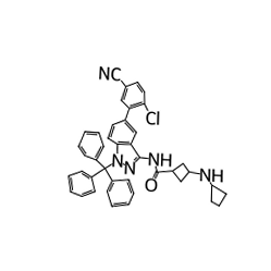 N#Cc1ccc(Cl)c(-c2ccc3c(c2)c(NC(=O)C2CC(NC4CCC4)C2)nn3C(c2ccccc2)(c2ccccc2)c2ccccc2)c1